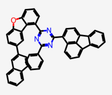 c1ccc(-c2nc(-c3ccc4c5c(cccc35)-c3ccccc3-4)nc(-c3cccc4oc5ccc(-c6ccc7ccccc7c6)cc5c34)n2)cc1